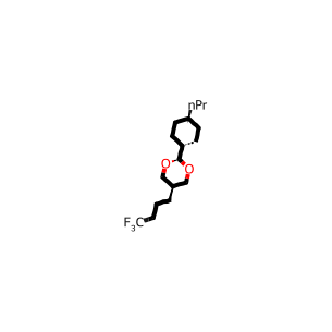 CCC[C@H]1CC[C@H]([C@H]2OC[C@H](CCCC(F)(F)F)CO2)CC1